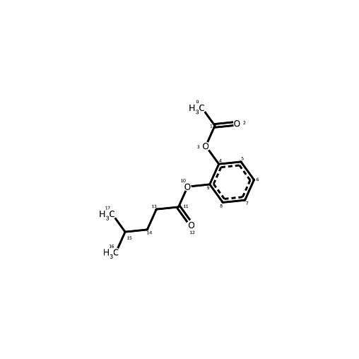 CC(=O)Oc1ccccc1OC(=O)CCC(C)C